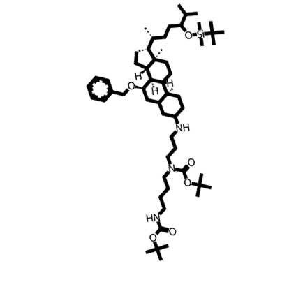 CC(C)C(CC[C@@H](C)[C@H]1CC[C@H]2[C@@H]3[C@H](OCc4ccccc4)CC4CC(NCCCN(CCCCNC(=O)OC(C)(C)C)C(=O)OC(C)(C)C)CC[C@]4(C)[C@H]3CC[C@]12C)O[Si](C)(C)C(C)(C)C